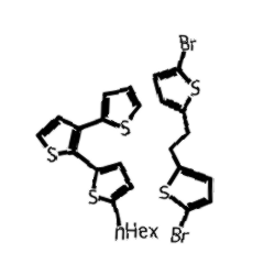 Brc1ccc(CCc2ccc(Br)s2)s1.CCCCCCc1ccc(-c2sccc2-c2cccs2)s1